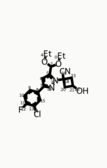 CCOC(OCC)c1cc(-c2ccc(F)c(Cl)c2)nn1C1(C#N)CC(O)C1